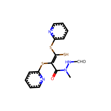 CN(NC=O)C(=O)/C(Sc1ccccn1)=C(\S)Sc1ccccn1